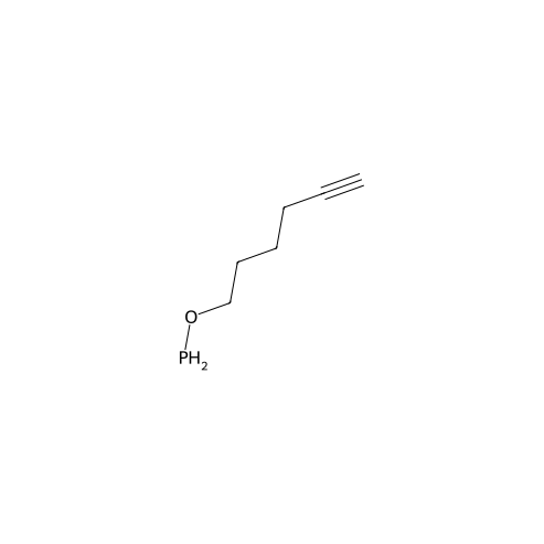 C#CCCCCOP